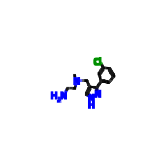 CN(CCN)Cc1c[nH]nc1-c1cccc(Cl)c1